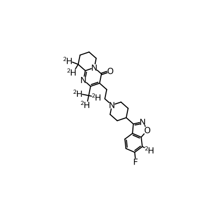 [2H]c1c(F)ccc2c(C3CCN(CCc4c(C([2H])([2H])[2H])nc5n(c4=O)CCCC5([2H])[2H])CC3)noc12